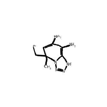 CC(C)CC1(C)C=C(N)C(N)=C2NN=NN21